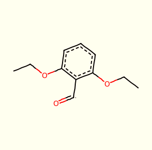 CCOc1cccc(OCC)c1[C]=O